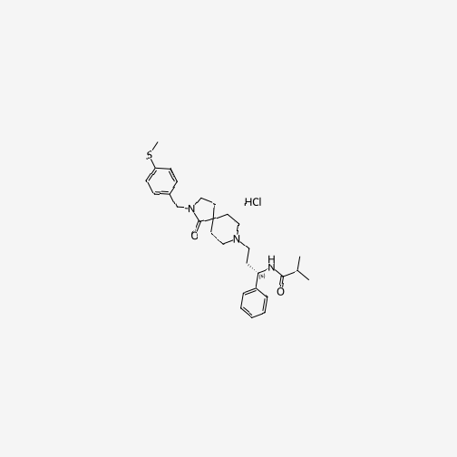 CSc1ccc(CN2CCC3(CCN(CC[C@H](NC(=O)C(C)C)c4ccccc4)CC3)C2=O)cc1.Cl